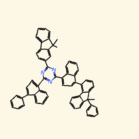 CC1(C)c2ccccc2-c2ccc(-c3nc(-c4ccc(-c5ccccc5)c5ccccc45)nc(-c4ccc(-c5cccc6c5-c5ccccc5C6(C)c5ccccc5)c5ccccc45)n3)cc21